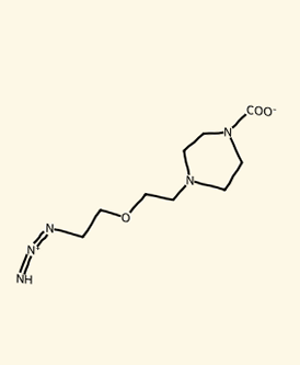 N=[N+]=NCCOCCN1CCN(C(=O)[O-])CC1